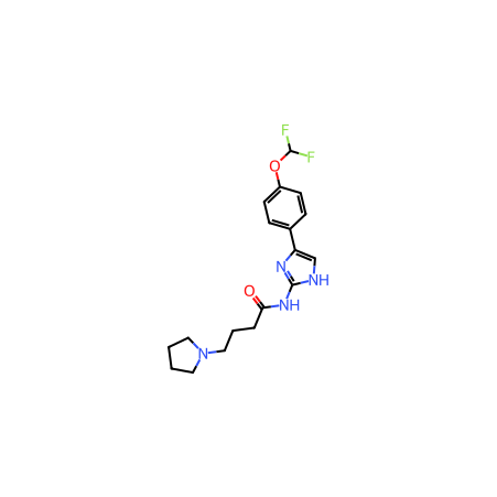 O=C(CCCN1CCCC1)Nc1nc(-c2ccc(OC(F)F)cc2)c[nH]1